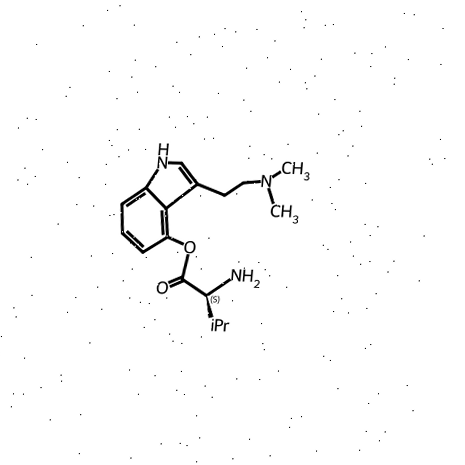 CC(C)[C@H](N)C(=O)Oc1cccc2[nH]cc(CCN(C)C)c12